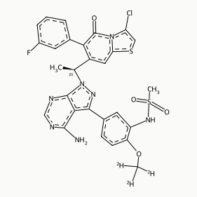 [2H]C([2H])([2H])Oc1ccc(-c2nn([C@@H](C)c3cc4scc(Cl)n4c(=O)c3-c3cccc(F)c3)c3ncnc(N)c23)cc1NS(C)(=O)=O